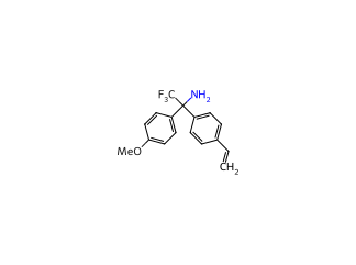 C=Cc1ccc(C(N)(c2ccc(OC)cc2)C(F)(F)F)cc1